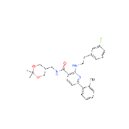 CC1(C)OCC(CNC(=O)c2ccc(-c3ccccc3C#N)nc2NCCc2cccc(F)c2)CO1